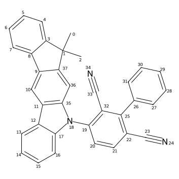 CC1(C)c2ccccc2-c2cc3c4ccccc4n(-c4ccc(C#N)c(-c5ccccc5)c4C#N)c3cc21